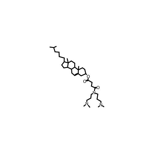 CC(C)CCCCC1CCC2C3CC=C4CC(OC(=O)CCC(=O)N(CCCN(C)C)CCCN(C)C)CCC4(C)C3CCC12C